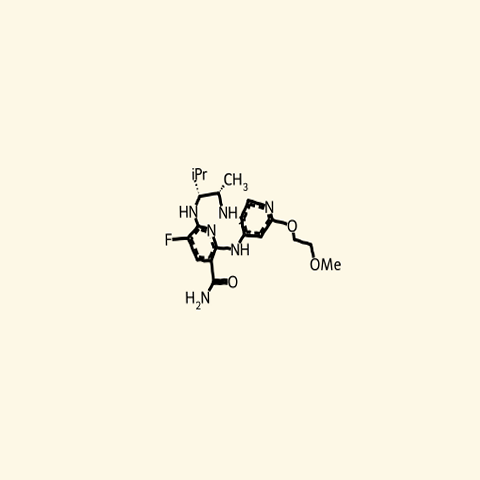 COCCOc1cc(Nc2nc(N[C@H](C(C)C)[C@H](C)N)c(F)cc2C(N)=O)ccn1